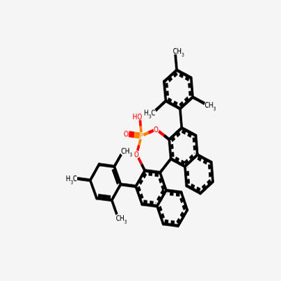 CC1=CC(C)CC(C)=C1c1cc2ccccc2c2c1OP(=O)(O)Oc1c(-c3c(C)cc(C)cc3C)cc3ccccc3c1-2